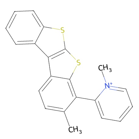 Cc1ccc2c(sc3sc4ccccc4c32)c1-c1cccc[n+]1C